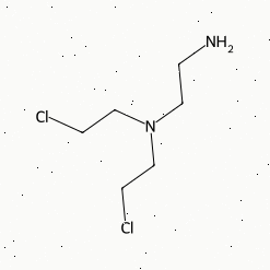 NCCN(CCCl)CCCl